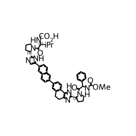 COC(=O)NC(C(=O)N1CCC[C@H]1c1nc2c([nH]1)-c1ccc(-c3ccc4cc(-c5cnc([C@@H]6CCCN6C(=O)[C@@H](NC(=O)O)C(C)C)[nH]5)ccc4c3)cc1CC2)c1ccccc1